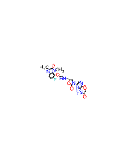 Cc1nc2ccc(F)c(OCCNCC3CN(c4cnc5c(n4)NC(=O)CO5)C(=O)O3)c2n(C)c1=O